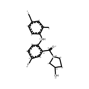 Cc1cc(I)ccc1Nc1ccc(F)cc1C(=O)N1CCC(O)C1